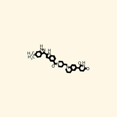 CC1(C)CCc2c(-c3cc4cc(C(=O)N5CCC(CN6CCCc7cc(C8CCC(=O)NC8=O)ccc76)CC5)ccc4[nH]3)n[nH]c2C1